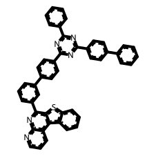 c1ccc(-c2ccc(-c3nc(-c4ccccc4)nc(-c4ccc(-c5cccc(-c6nc7ncccc7c7c6sc6ccccc67)c5)cc4)n3)cc2)cc1